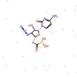 [N-]=[N+]=NC1[C@@H](OC(=O)P(O)O)O[C@@H](n2ccc(N)nc2=O)[C@@H]1O